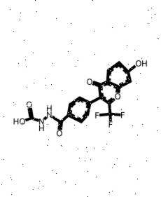 O=C(O)NNC(=O)c1ccc(-c2c(C(F)(F)F)oc3cc(O)ccc3c2=O)cc1